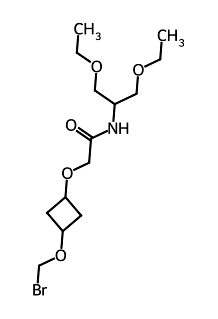 CCOCC(COCC)NC(=O)COC1CC(OCBr)C1